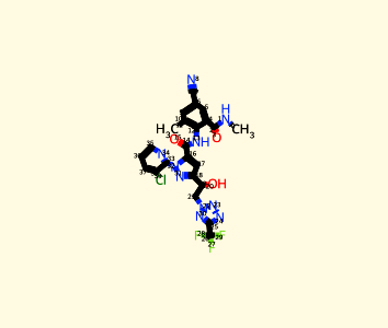 CNC(=O)c1cc(C#N)cc(C)c1NC(=O)c1cc(C(O)Cn2nnc(C(F)(F)F)n2)nn1-c1ncccc1Cl